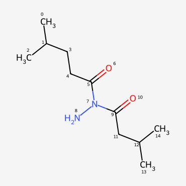 CC(C)CCC(=O)N(N)C(=O)CC(C)C